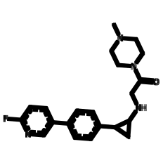 CN1CCN(C(=O)CNC2CC2c2ccc(-c3ccc(F)nc3)cc2)CC1